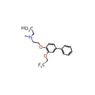 CN(CCOc1ccc(-c2ccccc2)cc1OCC(F)(F)F)CC(=O)O